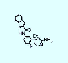 CC[C@@]1(c2cc(NC(=O)c3cc4ccccc4s3)ccc2F)CCN=C(N)S1